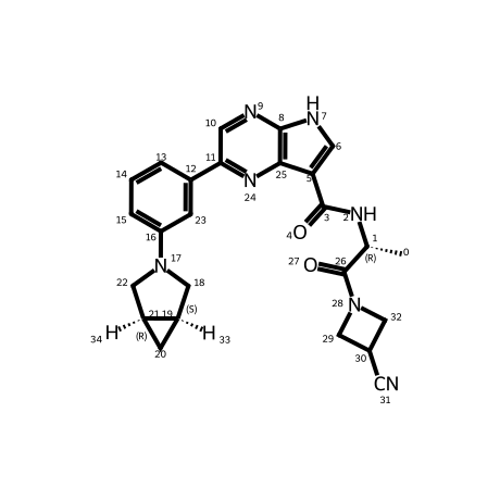 C[C@@H](NC(=O)c1c[nH]c2ncc(-c3cccc(N4C[C@H]5C[C@H]5C4)c3)nc12)C(=O)N1CC(C#N)C1